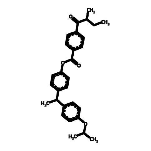 CCC(C)C(=O)c1ccc(C(=O)Oc2ccc(C(C)c3ccc(OC(C)C)cc3)cc2)cc1